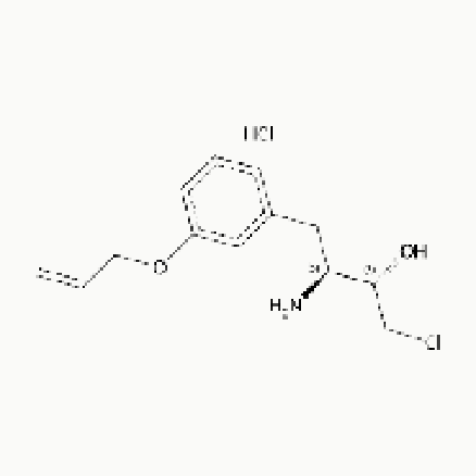 C=CCOc1cccc(C[C@H](N)[C@H](O)CCl)c1.Cl